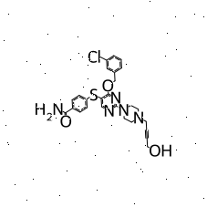 NC(=O)c1ccc(Sc2cnc(N3CCN(CC#CCO)CC3)nc2OCc2cccc(Cl)c2)cc1